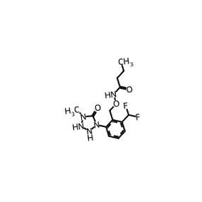 CCCC(=O)NOCc1c(C(F)F)cccc1N1NNN(C)C1=O